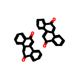 O=C1C=C2C(=CC(=O)c3ccccc32)c2ccccc21.O=C1C=C2C(=CC(=O)c3ccccc32)c2ccccc21